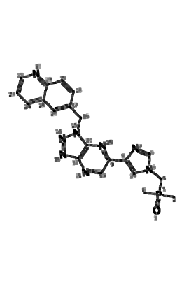 CP(C)(=O)Cn1cnc(-c2cnc3nnn(Cc4ccc5ncccc5c4)c3n2)c1